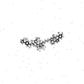 Cc1ncsc1-c1ccc([C@H](C)NC(=O)[C@@H]2C[C@@H](O)CN2C(=O)[C@@H](NC(=O)COCCOCCNC(=O)COc2c(-c3csc(N4CCOCC4)n3)ccc(F)c2F)C(C)(C)C)cc1